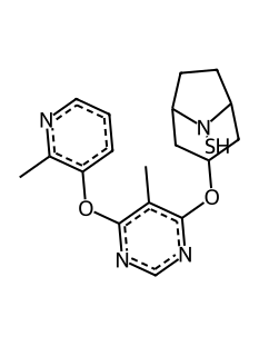 Cc1ncccc1Oc1ncnc(OC2CC3CCC(C2)N3S)c1C